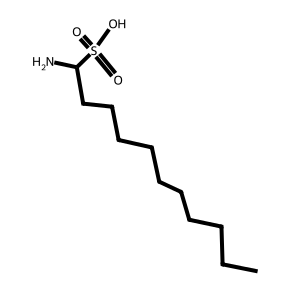 CCCCCCCCCCC(N)S(=O)(=O)O